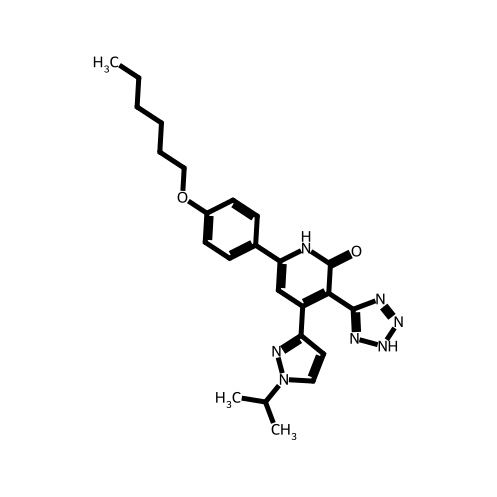 CCCCCCOc1ccc(-c2cc(-c3ccn(C(C)C)n3)c(-c3nn[nH]n3)c(=O)[nH]2)cc1